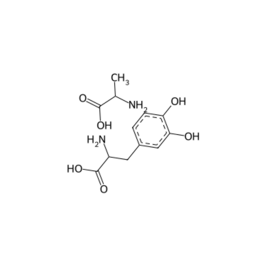 CC(N)C(=O)O.NC(Cc1ccc(O)c(O)c1)C(=O)O